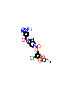 CS(=O)(=O)c1cc(Cl)cc(COC(=O)N2CC=C3CN(C(=O)c4ccc5[nH]nnc5c4)C[C@H]3CC2)c1